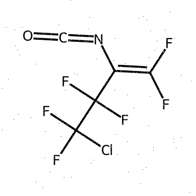 O=C=NC(=C(F)F)C(F)(F)C(F)(F)Cl